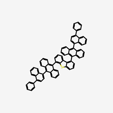 c1ccc(-c2ccc(-c3c4ccccc4c(-c4cccc5c4sc4cccc(-c6c7ccccc7c(-c7ccc(-c8ccccc8)c8ccccc78)c7ccccc67)c45)c4ccccc34)c3ccccc23)cc1